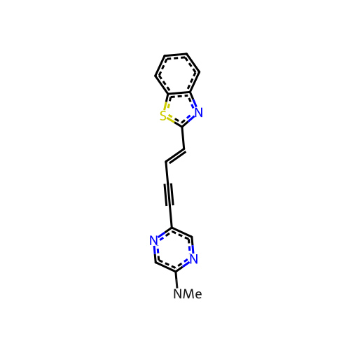 CNc1cnc(C#CC=Cc2nc3ccccc3s2)cn1